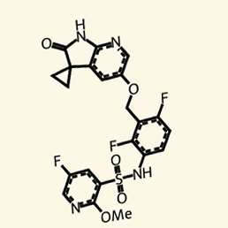 COc1ncc(F)cc1S(=O)(=O)Nc1ccc(F)c(COc2cnc3c(c2)C2(CC2)C(=O)N3)c1F